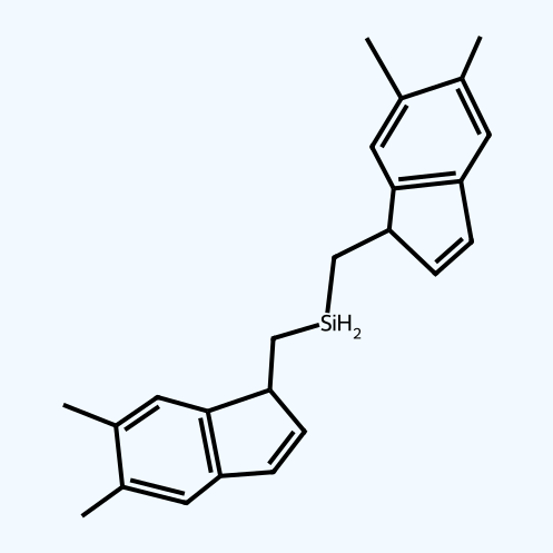 Cc1cc2c(cc1C)C(C[SiH2]CC1C=Cc3cc(C)c(C)cc31)C=C2